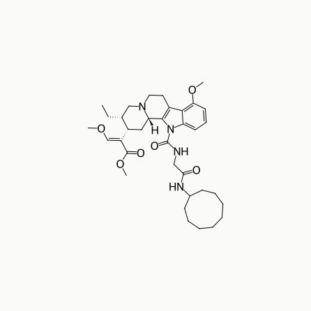 CC[C@@H]1CN2CCc3c(n(C(=O)NCC(=O)NC4CCCCCCCC4)c4cccc(OC)c34)[C@@H]2C[C@@H]1/C(=C\OC)C(=O)OC